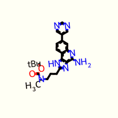 CN(CCCc1nc2c(N)nc3cc(-c4cncnc4)ccc3c2[nH]1)C(=O)OC(C)(C)C